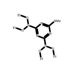 CCON(OCC)c1nc(NC)nc(N(OCC)OCC)n1